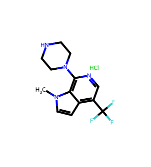 Cl.Cn1ccc2c(C(F)(F)F)cnc(N3CCNCC3)c21